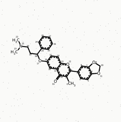 Cc1c(-c2ccc3c(c2)OCO3)oc2ccc(OC(CCN(C)C)c3ccccc3)cc2c1=O